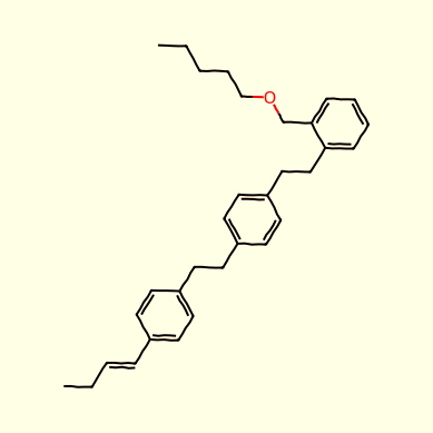 CC/C=C/c1ccc(CCc2ccc(CCc3ccccc3COCCCCC)cc2)cc1